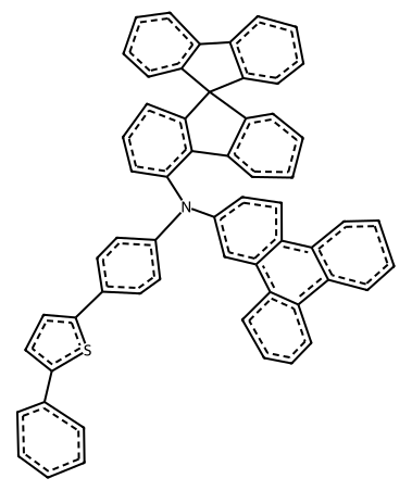 c1ccc(-c2ccc(-c3ccc(N(c4ccc5c6ccccc6c6ccccc6c5c4)c4cccc5c4-c4ccccc4C54c5ccccc5-c5ccccc54)cc3)s2)cc1